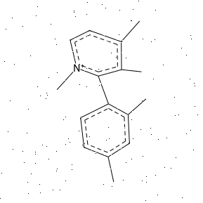 Cc1ccc(-c2c(C)c(C)cc[n+]2C)c(C)c1